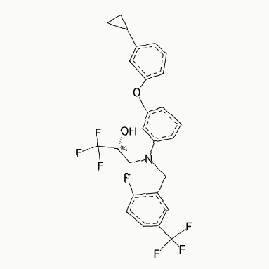 O[C@H](CN(Cc1cc(C(F)(F)F)ccc1F)c1cccc(Oc2cccc(C3CC3)c2)c1)C(F)(F)F